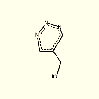 CC(C)Cc1cnnnc1